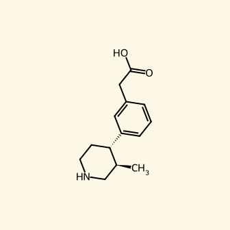 C[C@H]1CNCC[C@@H]1c1cccc(CC(=O)O)c1